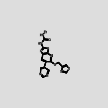 CCNC(=O)Nc1nc2cc(-c3cncnc3)c(OCc3cscn3)nc2s1